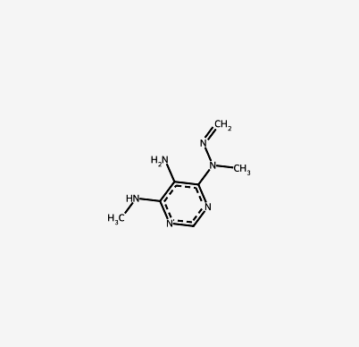 C=NN(C)c1ncnc(NC)c1N